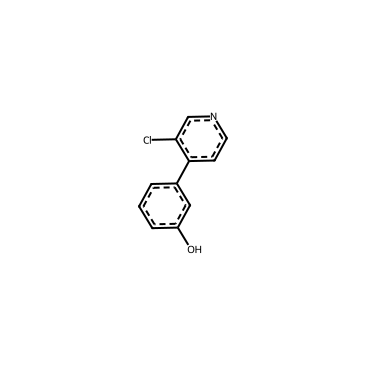 Oc1cccc(-c2ccncc2Cl)c1